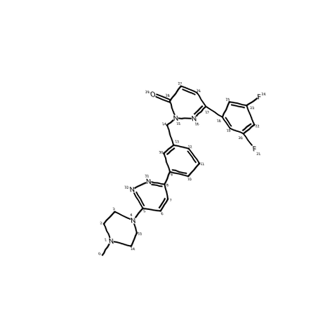 CN1CCN(c2ccc(-c3cccc(Cn4nc(-c5cc(F)cc(F)c5)ccc4=O)c3)nn2)CC1